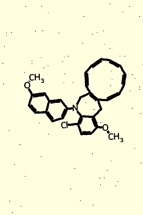 COc1ccc2ccc(N3CC4=C(\C=C/C=C\C=C/C=C\C=C/4)Cc4c(OC)ccc(Cl)c43)cc2c1